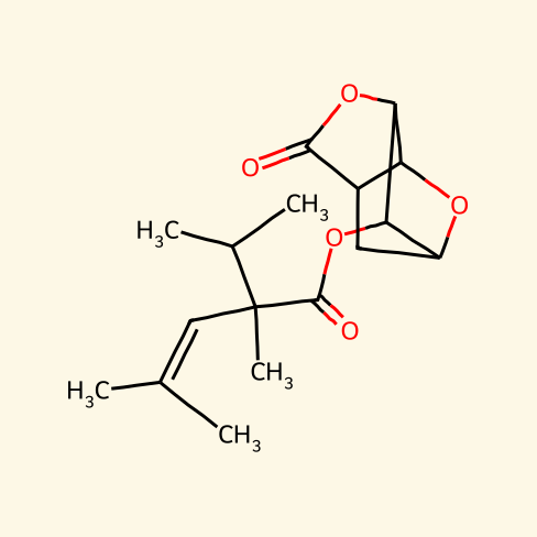 CC(C)=CC(C)(C(=O)OC1C2CC3C(=O)OC1C3O2)C(C)C